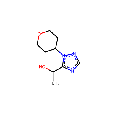 CC(O)c1ncnn1C1CCOCC1